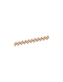 S=S=S=S=S=S=S=S=S=S=S=S=S=S=S=S=S=S=S=S=S=S